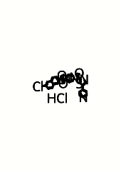 Cl.O=C(c1ncc(-c2ccncc2)s1)N1CCN(S(=O)(=O)c2ccc3cc(Cl)ccc3c2)CC1